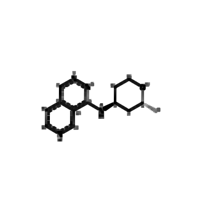 C[C@@H]1C[C@@H](Nc2nncc3ccncc23)CCO1